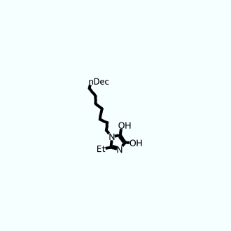 CCCCCCCCCCCCCCCCCn1c(CC)nc(O)c1O